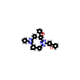 c1ccc(-c2cc(-c3cccc(-c4cccc(-c5nc(-c6ccc7c(c6)oc6ccccc67)nc(-c6ccc7c(c6)oc6ccccc67)n5)c4)c3)nc(-c3ccccc3)n2)cc1